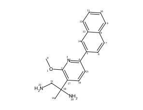 COc1nc(-c2ccc3ccccc3c2)ccc1C(C)(N)CN